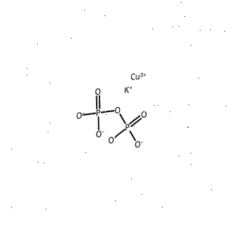 O=P([O-])([O-])OP(=O)([O-])[O-].[Cu+3].[K+]